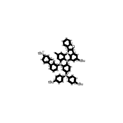 Cc1cc2c3c(c1)-n1c4c(cc(C(C)(C)C)cc4c4oc5ccccc5c41)B3c1ccc(N(c3ccc(C(C)(C)C)cc3)c3ccc(C(C)(C)C)cc3)cc1N2c1cccc2c1sc1cc(C(C)(C)C)ccc12